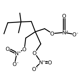 CCC(C)(C)CC(CO[N+](=O)[O-])(CO[N+](=O)[O-])CO[N+](=O)[O-]